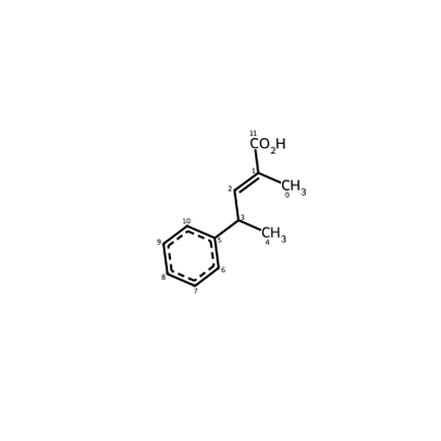 CC(=CC(C)c1ccccc1)C(=O)O